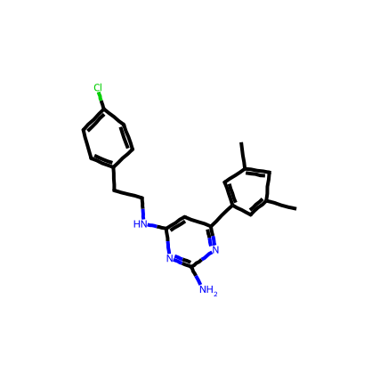 Cc1cc(C)cc(-c2cc(NCCc3ccc(Cl)cc3)nc(N)n2)c1